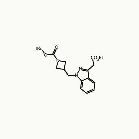 CCOC(=O)Cc1nn(CC2CN(C(=O)OC(C)(C)C)C2)c2ccccc12